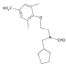 Cc1cc(C(=O)O)cc(C)c1OCCN(C=O)CC1CCCC1